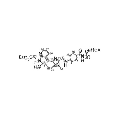 CCCCCCOC(=O)NC(=O)c1ccc(NCc2nc3cc(C(O)N(CCC(=O)OCC)c4ccccn4)ccc3n2C)cc1